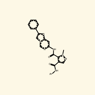 CC(C)NC(=O)c1cnn(C)c1C(=O)Nc1cc2nc(-c3ccccc3)cn2cn1